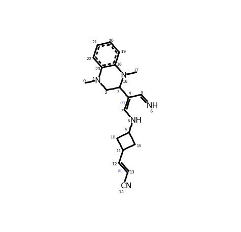 CN1CC(/C(C=N)=C/NC2CC(/C=C/C#N)C2)N(C)c2ccccc21